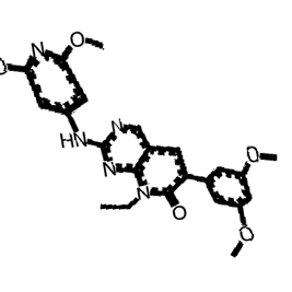 CCn1c(=O)c(-c2cc(OC)cc(OC)c2)cc2cnc(Nc3cc(OC)nc(OC)c3)nc21